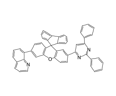 c1ccc(-c2cc(-c3ccc4c(c3)C3(c5ccc(-c6cccc7cccnc67)cc5O4)c4ccccc4-c4ccccc43)nc(-c3ccccc3)n2)cc1